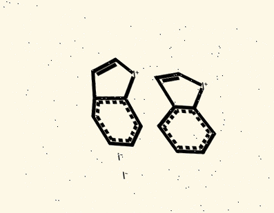 C1=Cc2ccccc2[I+]1.C1=Cc2ccccc2[I+]1.[I-].[I-]